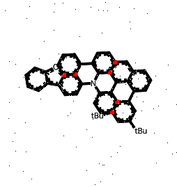 CC(C)(C)c1cc(-c2cccc3cccc(-c4ccccc4N(c4ccc5c(c4)oc4ccccc45)c4ccccc4-c4ccccc4)c23)cc(C(C)(C)C)c1